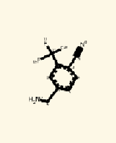 N#Cc1ccc(CN)cc1C(F)(F)F